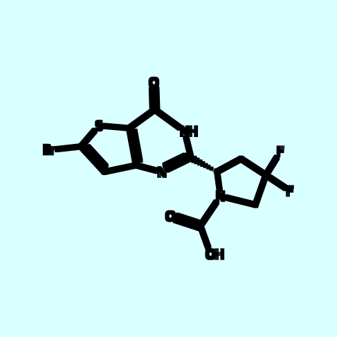 O=C(O)N1CC(F)(F)C[C@H]1c1nc2cc(Br)sc2c(=O)[nH]1